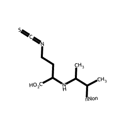 CCCCCCCCCC(C)C(C)NC(CCN=C=S)C(=O)O